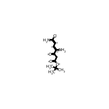 CC(C)(C)OC(=O)CC(=O)/C(N)=C/C=C(\N)Cl